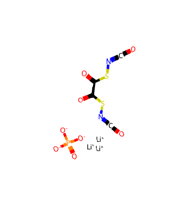 O=C=NSC(=O)C(=O)SN=C=O.O=P([O-])([O-])[O-].[Li+].[Li+].[Li+]